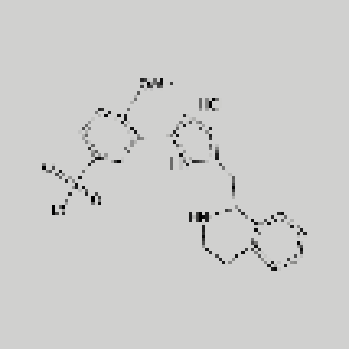 CCS(=O)(=O)c1ccc(OC)c(-c2ccc(CC3NCCc4ccccc43)[nH]2)c1.Cl